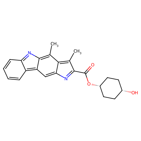 CC1=c2c(cc3c(c2C)N=c2ccccc2=3)N=C1C(=O)O[C@H]1CC[C@@H](O)CC1